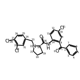 O=C(c1ccccc1)c1cc(Cl)ccc1NC(=O)[C@H]1CCCN1Cc1ccc(Cl)c(Cl)c1